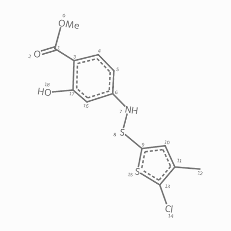 COC(=O)c1ccc(NSc2cc(C)c(Cl)s2)cc1O